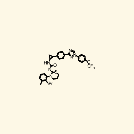 Cc1cccc(N2CCCS/C2=N\C(=O)NC2CC2c2ccc(-c3ncn(-c4ccc(OC(F)(F)F)cc4)n3)cc2)c1C(C)C